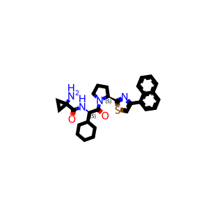 NC1(C(=O)N[C@H](C(=O)N2CCC[C@H]2c2nc(-c3cccc4ccccc34)cs2)C2CCCCC2)CC1